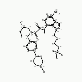 C[C@H]1CC[C@H](c2ccc(N3CCN(C)CC3)cc2)N(C(=O)C(=O)Nc2cnc(N)c3cnn(COCC[Si](C)(C)C)c23)C1